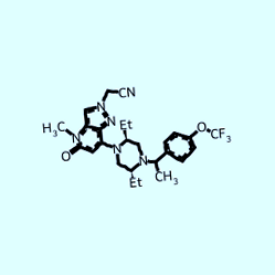 CC[C@H]1CN(C(C)c2ccc(OC(F)(F)F)cc2)[C@H](CC)CN1c1cc(=O)n(C)c2cn(CC#N)nc12